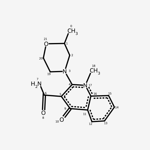 CC1CN(c2c(C(N)=O)c(=O)c3ccccc3n2C)CCO1